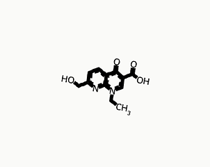 CCn1cc(C(=O)O)c(=O)c2ccc(CO)nc21